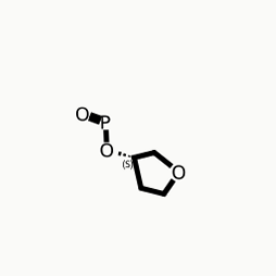 O=PO[C@H]1CCOC1